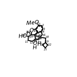 COc1ccc2c3c1O[C@@H]1C(O)CC[C@]4(O)[C@H](C2)N(CC2CCC2)CC[C@@]314